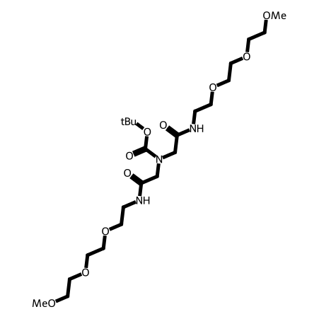 COCCOCCOCCNC(=O)CN(CC(=O)NCCOCCOCCOC)C(=O)OC(C)(C)C